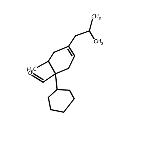 CC(C)CC1=CCC(C=O)(C2CCCCC2)C(C)C1